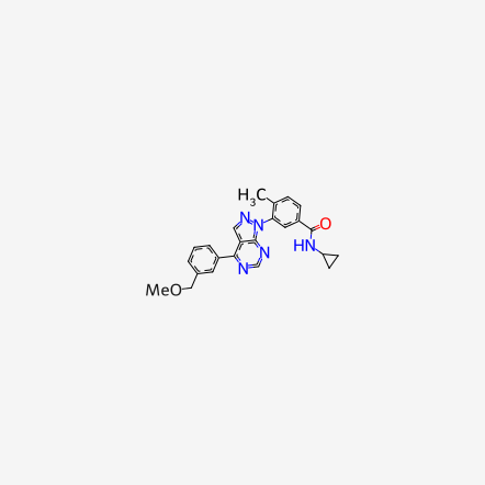 COCc1cccc(-c2ncnc3c2cnn3-c2cc(C(=O)NC3CC3)ccc2C)c1